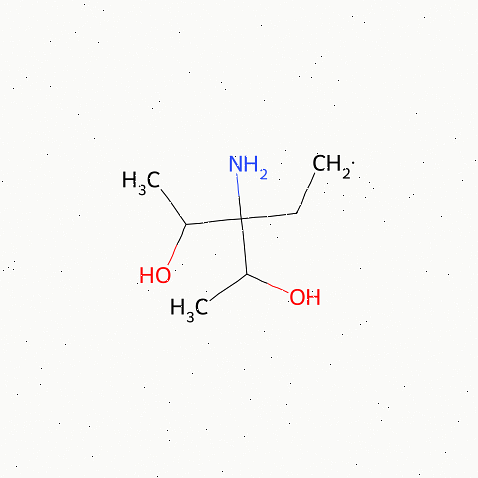 [CH2]CC(N)(C(C)O)C(C)O